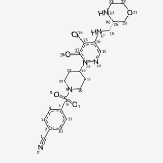 N#Cc1ccc(S(=O)(=O)N2CCC(n3ncc(NC[C@H]4COCCN4)c(Cl)c3=O)CC2)cc1